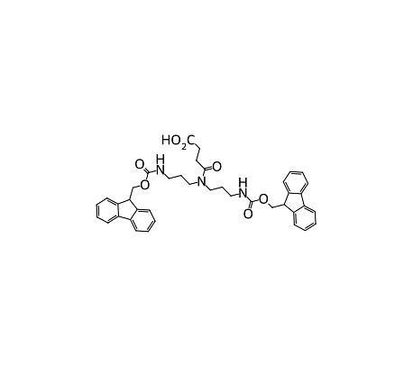 O=C(O)CCC(=O)N(CCCNC(=O)OCC1c2ccccc2-c2ccccc21)CCCNC(=O)OCC1c2ccccc2-c2ccccc21